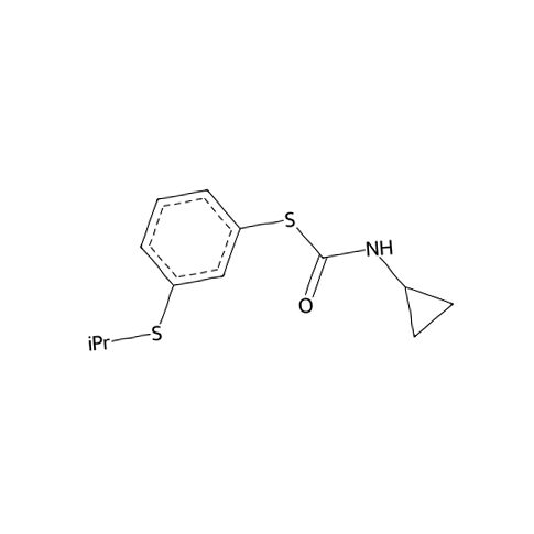 CC(C)Sc1cccc(SC(=O)NC2CC2)c1